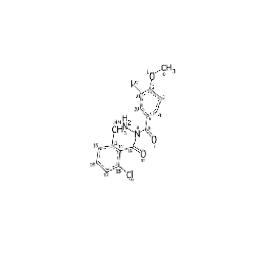 COc1ccc(C(=O)N(N)C(=O)c2c(C)cccc2Cl)cc1I